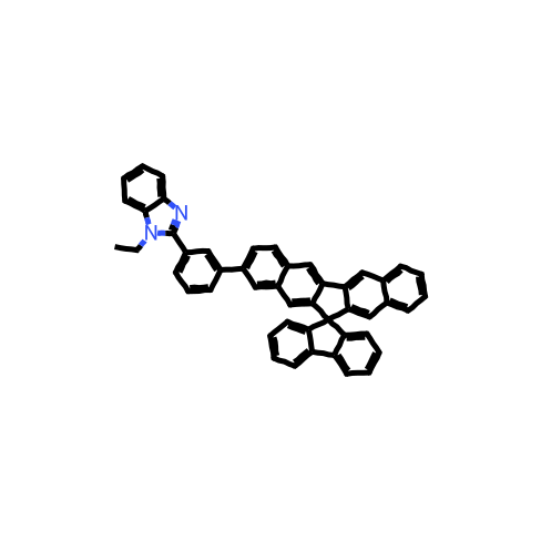 CCn1c(-c2cccc(-c3ccc4cc5c(cc4c3)C3(c4ccccc4-c4ccccc43)c3cc4ccccc4cc3-5)c2)nc2ccccc21